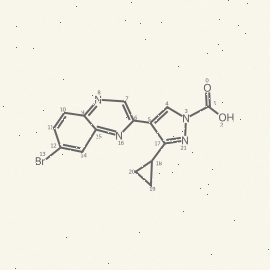 O=C(O)n1cc(-c2cnc3ccc(Br)cc3n2)c(C2CC2)n1